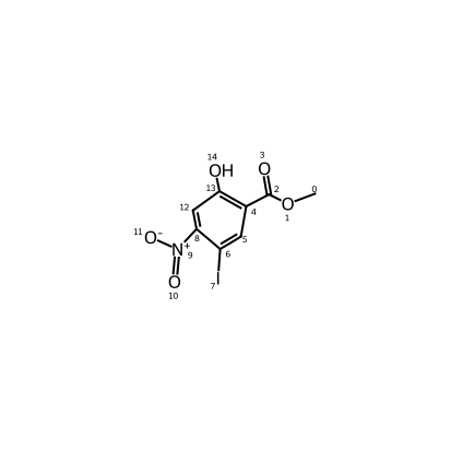 COC(=O)c1cc(I)c([N+](=O)[O-])cc1O